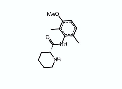 COc1ccc(C)c(NC(=O)[C@H]2CCCCN2)c1C